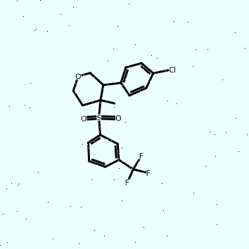 CC1(S(=O)(=O)c2cccc(C(F)(F)F)c2)CCOCC1c1ccc(Cl)cc1